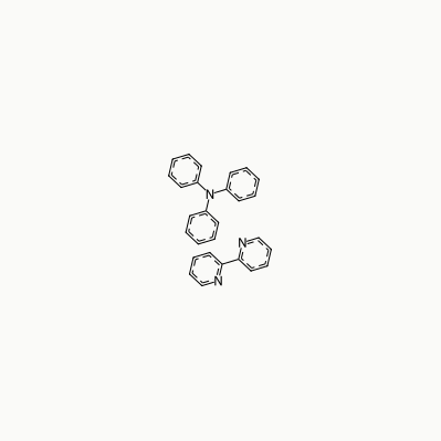 c1ccc(-c2ccccn2)nc1.c1ccc(N(c2ccccc2)c2ccccc2)cc1